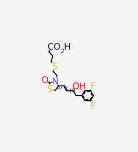 O=C(O)CCCSCCN1C(=O)SC[C@@H]1/C=C/[C@@H](O)Cc1cc(F)cc(F)c1